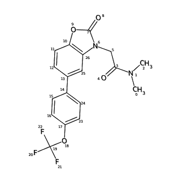 CN(C)C(=O)Cn1c(=O)oc2ccc(-c3ccc(OC(F)(F)F)cc3)cc21